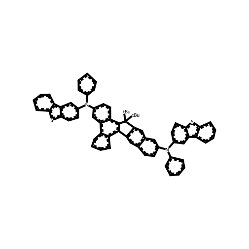 CC(C)(C)C1(C(C)(C)C)c2cc3cc(N(c4ccccc4)c4ccc5sc6ccccc6c5c4)ccc3cc2-c2c1c1ccc(N(c3ccccc3)c3ccc4sc5ccccc5c4c3)cc1c1ccccc21